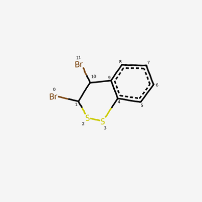 BrC1SSc2ccccc2C1Br